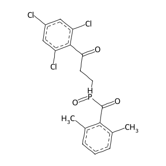 Cc1cccc(C)c1C(=O)[PH](=O)CCC(=O)c1c(Cl)cc(Cl)cc1Cl